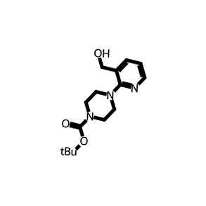 CC(C)(C)OC(=O)N1CCN(c2ncccc2CO)CC1